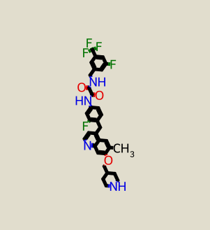 Cc1cc2c(Cc3ccc(NC(=O)C(=O)NCc4cc(F)cc(C(F)(F)F)c4)cc3F)ccnc2cc1OCC1CCNCC1